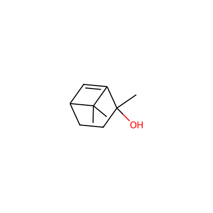 CC1(O)CCC2C=C1C2(C)C